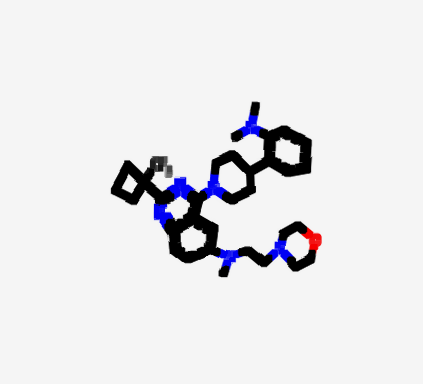 CN(C)c1ccccc1C1CCN(c2nc(C3(C(F)(F)F)CCC3)nc3ccc(N(C)CCN4CCOCC4)cc23)CC1